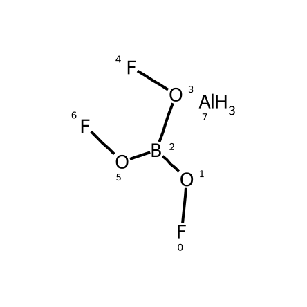 FOB(OF)OF.[AlH3]